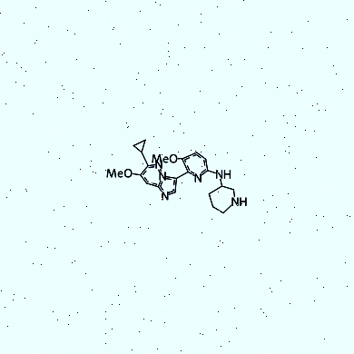 COc1ccc(NC2CCCNC2)nc1-c1cnc2cc(OC)c(C3CC3)nn12